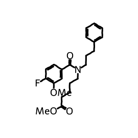 COC(=O)CCCCN(CCCc1ccccc1)C(=O)c1ccc(F)c(OC)c1